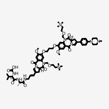 COc1cc2c(cc1OCCCOc1cc3c(cc1OC)C(=O)N1C=C(c4ccc(N5CCN(C)CC5)cc4)C[C@H]1C(=O)N3COCC[Si](C)(C)C)N(COCC[Si](C)(C)C)C(=O)[C@@H]1CC(C=CCNC(=O)[C@H](C)NC(=O)[C@@H](NC(=O)O)C(C)C)=CN1C2=O